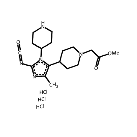 COC(=O)CN1CCC(c2c(C)nc(N=C=O)n2C2CCNCC2)CC1.Cl.Cl.Cl